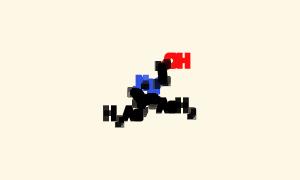 OCCn1ncc([AsH2])c1[AsH2]